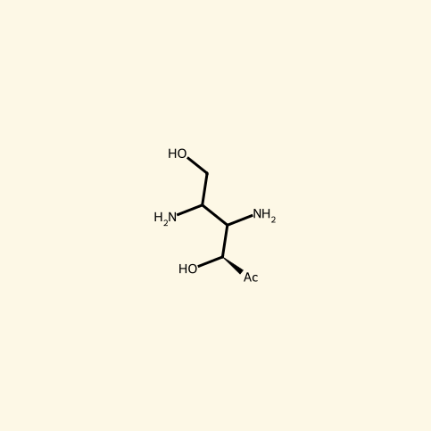 CC(=O)[C@@H](O)C(N)C(N)CO